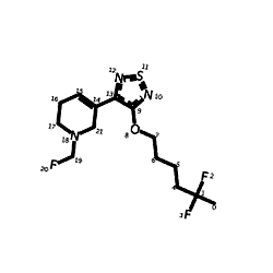 CC(F)(F)CCCCOc1nsnc1C1=CCCN(CF)C1